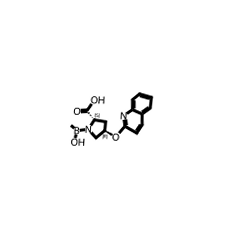 CB(O)N1C[C@H](Oc2ccc3ccccc3n2)C[C@H]1C(=O)O